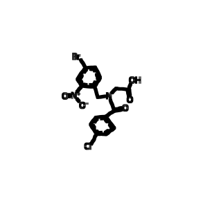 O=C(O)CN(Cc1ccc(Br)cc1[N+](=O)[O-])C(=O)c1ccc(Cl)cc1